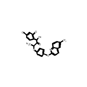 CC(Oc1ccc(Oc2ccc3cc(C(F)(F)F)ccc3n2)cc1)C(=O)C(C#N)c1ccc(Cl)cc1Cl